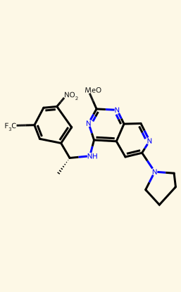 COc1nc(N[C@H](C)c2cc([N+](=O)[O-])cc(C(F)(F)F)c2)c2cc(N3CCCC3)ncc2n1